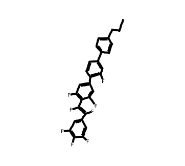 CCCc1ccc(-c2ccc(-c3cc(F)c(/C(F)=C(\F)c4cc(F)c(F)c(F)c4)c(F)c3)c(F)c2)cc1